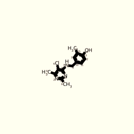 Cc1nc(C)c(Cl)c(NCc2ccc(O)c(C)c2)n1